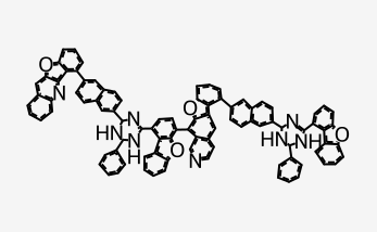 c1ccc(C2NC(c3cccc4oc5ccccc5c34)=NC(c3ccc4cc(-c5cccc6oc7c(-c8ccc(C9=NC(c%10ccc%11cc(-c%12cccc%13oc%14cc%15ccccc%15nc%14c%12%13)ccc%11c%10)NC(c%10ccccc%10)N9)c9c8oc8ccccc89)c8cnccc8cc7c56)ccc4c3)N2)cc1